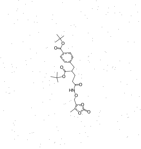 Cc1oc(=O)oc1CONC(=O)CCC(Cc1ccc(C(=O)OC(C)(C)C)cc1)C(=O)OC(C)(C)C